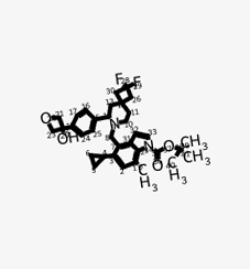 Cc1cc(C2CC2)c(CN2CCC3(CC2c2ccc(C4(O)COC4)cc2)CC(F)(F)C3)c2ccn(C(=O)OC(C)(C)C)c12